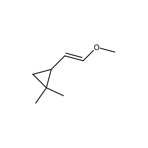 COC=CC1CC1(C)C